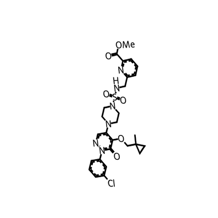 COC(=O)c1cccc(CNS(=O)(=O)N2CCN(c3cnn(-c4cccc(Cl)c4)c(=O)c3OCC3(C)CC3)CC2)n1